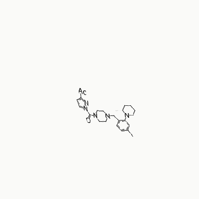 CC(=O)c1ccn(C(=O)N2CCN(Cc3ccc(C)cc3N3CCCC[C@H]3C)CC2)n1